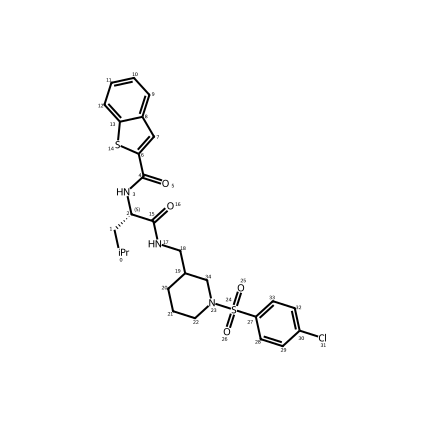 CC(C)C[C@H](NC(=O)c1cc2ccccc2s1)C(=O)NCC1CCCN(S(=O)(=O)c2ccc(Cl)cc2)C1